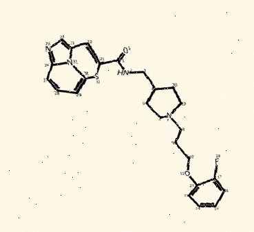 O=C(NCC1CCN(CCCOc2ccccc2F)CC1)C1=Cc2cnc3cccc(n23)S1